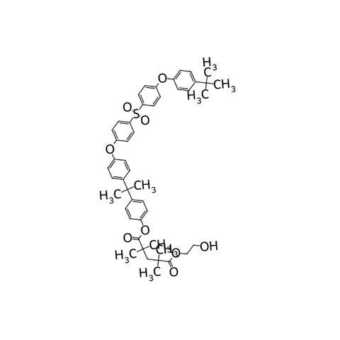 CC(C)(CC(C)(C)C(=O)Oc1ccc(C(C)(C)c2ccc(Oc3ccc(S(=O)(=O)c4ccc(Oc5ccc(C(C)(C)C)cc5)cc4)cc3)cc2)cc1)C(=O)OCCO